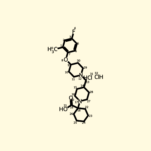 Cc1cc(F)ccc1OC1CCN(CC2CCN(C3(C(=O)O)CCCCC3)CC2)CC1.Cl.Cl